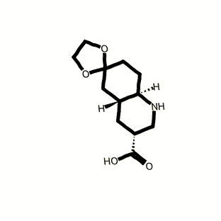 O=C(O)[C@H]1CN[C@@H]2CCC3(C[C@H]2C1)OCCO3